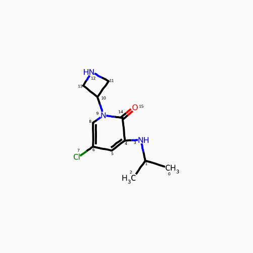 CC(C)Nc1cc(Cl)cn(C2CNC2)c1=O